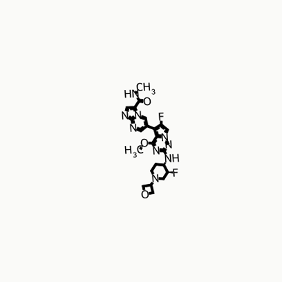 CNC(=O)c1cnc2ncc(-c3c(F)cn4nc(N[C@@H]5CCN(C6COC6)C[C@@H]5F)nc(OC)c34)cn12